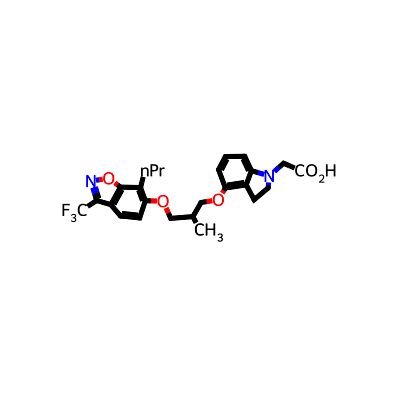 CCCc1c(OCC(C)COc2cccc3c2CCN3CC(=O)O)ccc2c(C(F)(F)F)noc12